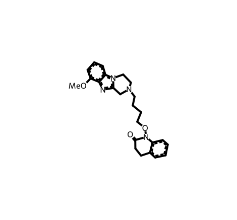 COc1cccc2c1nc1n2CCN(CCCCON2C(=O)CCc3ccccc32)C1